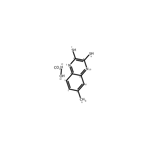 Cc1ccc2nc(S)c(S)nc2c1.O=C(O)O